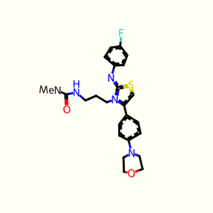 CNC(=O)NCCCn1c(-c2ccc(N3CCOCC3)cc2)cs/c1=N\c1ccc(F)cc1